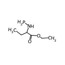 CCOC(=O)C(CC)NP